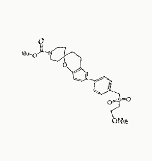 COCCS(=O)(=O)Cc1ccc(-c2ccc3c(c2)CCC2(CCN(C(=O)OC(C)(C)C)CC2)O3)cc1